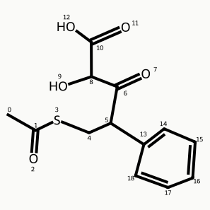 CC(=O)SCC(C(=O)C(O)C(=O)O)c1ccccc1